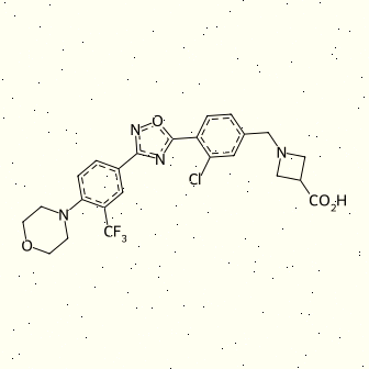 O=C(O)C1CN(Cc2ccc(-c3nc(-c4ccc(N5CCOCC5)c(C(F)(F)F)c4)no3)c(Cl)c2)C1